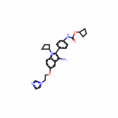 Nc1c(-c2ccc(NC(=O)OC3CCC3)cc2)n(C2CCC2)c2ccc(OCCn3ccnc3)cc12